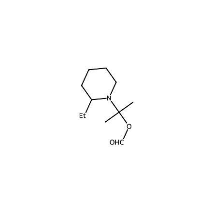 CCC1CCCCN1C(C)(C)OC=O